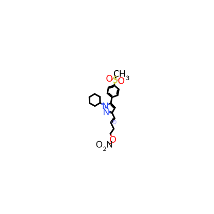 CS(=O)(=O)c1ccc(-c2cc(/C=C/CCO[N+](=O)[O-])nn2C2CCCCC2)cc1